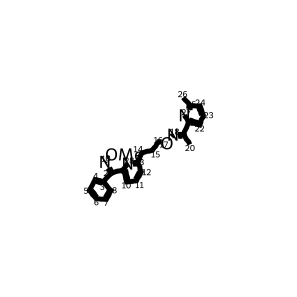 CON=C(c1ccccc1)c1cccc(CCCO/N=C(\C)c2cccc(C)n2)n1